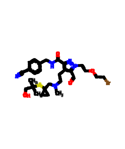 CN(CCc1c(C(=O)NCc2ccc(C#N)cc2)nn(CCOCCBr)c1C=O)CC1(SC(C)(C)CO)CC1